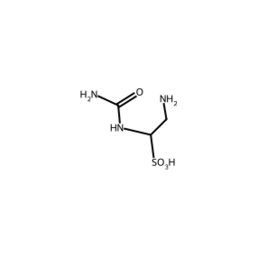 NCC(NC(N)=O)S(=O)(=O)O